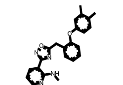 CNc1ncccc1-c1noc(Cc2ccccc2Oc2ccc(C)c(C)c2)n1